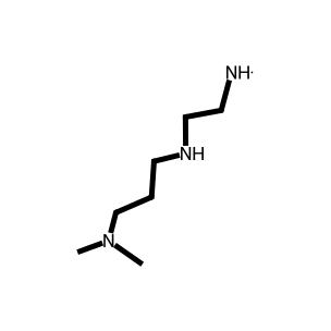 CN(C)CCCNCC[NH]